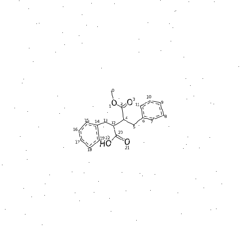 COC(=O)C(Cc1ccccc1)C(Cc1ccccc1)C(=O)O